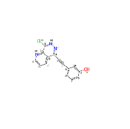 Oc1cccc(C#Cc2nnc(Cl)c3ncccc23)c1